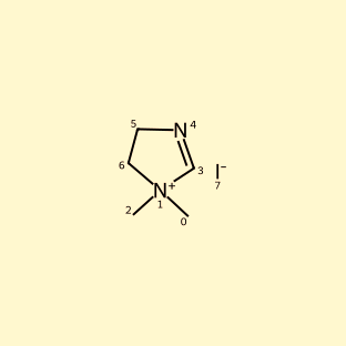 C[N+]1(C)C=NCC1.[I-]